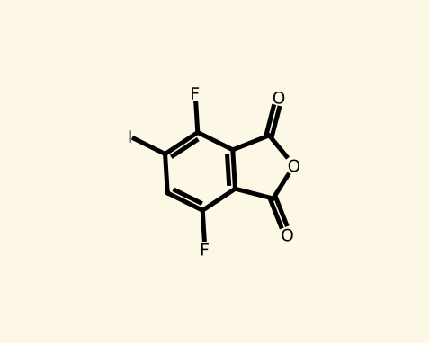 O=C1OC(=O)c2c(F)c(I)cc(F)c21